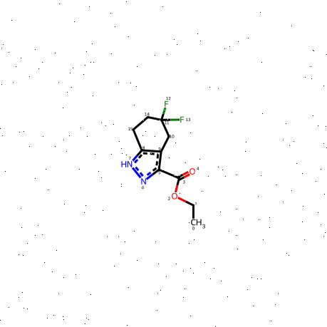 CCOC(=O)c1n[nH]c2c1CC(F)(F)CC2